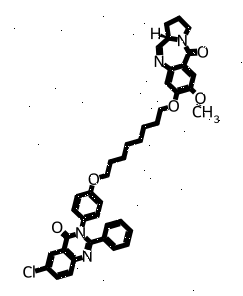 COc1cc2c(cc1OCCCCCCCCOc1ccc(-n3c(-c4ccccc4)nc4ccc(Cl)cc4c3=O)cc1)N=C[C@@H]1CCCN1C2=O